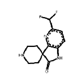 O=C1Nc2ccc(C(F)F)nc2C12CCNCC2